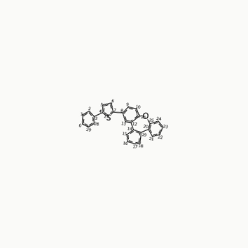 c1ccc(-c2ccc(-c3ccc4c(c3)-c3ccccc3-c3ccccc3O4)s2)cc1